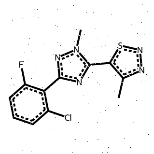 Cc1nnsc1-c1nc(-c2c(F)cccc2Cl)nn1C